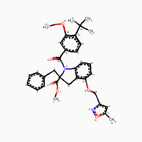 COC(=O)C1(Cc2ccccc2)Cc2c(OCc3cc(C)on3)cccc2N1C(=O)c1ccc(C(C)(C)C)c(OC)c1